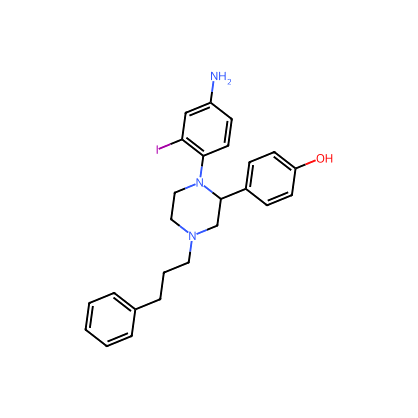 Nc1ccc(N2CCN(CCCc3ccccc3)CC2c2ccc(O)cc2)c(I)c1